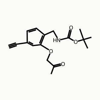 C#Cc1ccc(CNC(=O)OC(C)(C)C)c(OCC(C)=O)c1